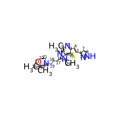 Cc1nc2cc(-c3cc[nH]n3)sc2c2c1nc(CCCN1CCOC(C)(C)C1)n2C